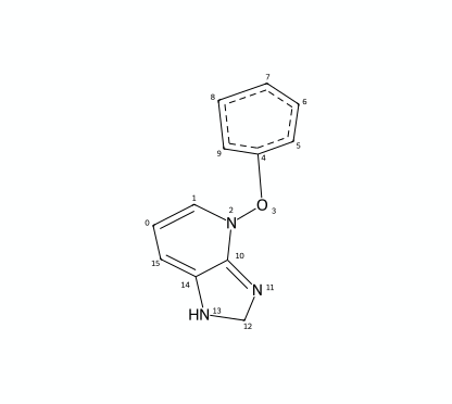 C1=CN(Oc2ccccc2)C2=NCNC2=C1